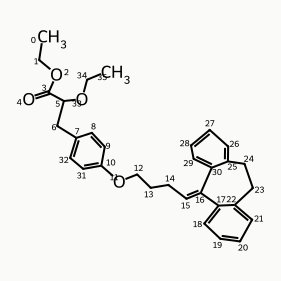 CCOC(=O)C(Cc1ccc(OCCCC=C2c3ccccc3CCc3ccccc32)cc1)OCC